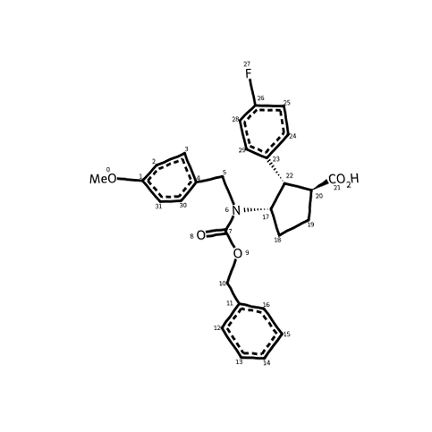 COc1ccc(CN(C(=O)OCc2ccccc2)[C@H]2CC[C@H](C(=O)O)[C@H]2c2ccc(F)cc2)cc1